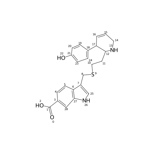 O=C(O)c1ccc2c(CSCCC3NCC=CC3c3ccc(O)cc3)c[nH]c2c1